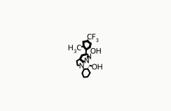 Cc1cc(C(F)(F)F)cc(O)c1-c1cc2c(nn1)N([C@@H]1CCCC[C@H]1CO)CC2